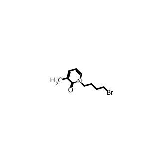 Cc1cccn(CCCCBr)c1=O